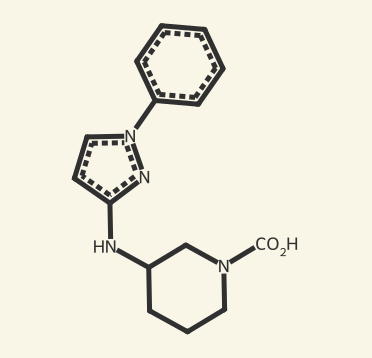 O=C(O)N1CCCC(Nc2ccn(-c3ccccc3)n2)C1